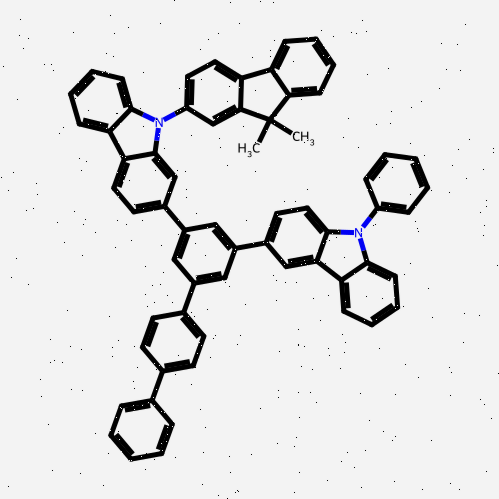 CC1(C)c2ccccc2-c2ccc(-n3c4ccccc4c4ccc(-c5cc(-c6ccc(-c7ccccc7)cc6)cc(-c6ccc7c(c6)c6ccccc6n7-c6ccccc6)c5)cc43)cc21